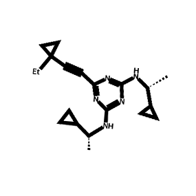 CCC1(C#Cc2nc(N[C@H](C)C3CC3)nc(N[C@H](C)C3CC3)n2)CC1